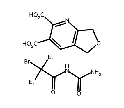 CCC(Br)(CC)C(=O)NC(N)=O.O=C(O)c1cc2c(nc1C(=O)O)COC2